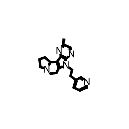 Cc1cnc2c(n1)c1c(n2CCc2cccnc2)CCN2CCCC12